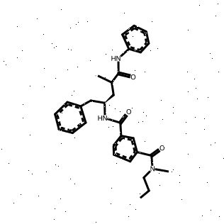 [CH2]C(C[C@H](Cc1ccccc1)NC(=O)c1cccc(C(=O)N(C)CCC)c1)C(=O)Nc1ccccc1